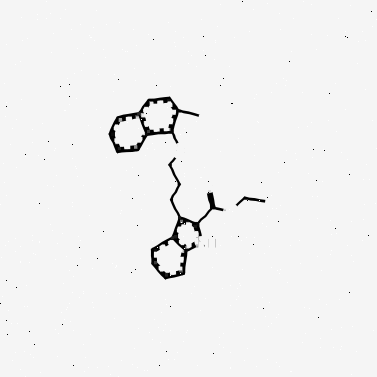 CCOC(=O)c1[nH]c2ccccc2c1CCCOc1c(C)ccc2ccccc12